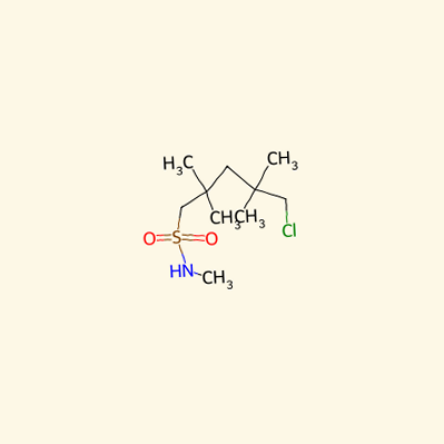 CNS(=O)(=O)CC(C)(C)CC(C)(C)CCl